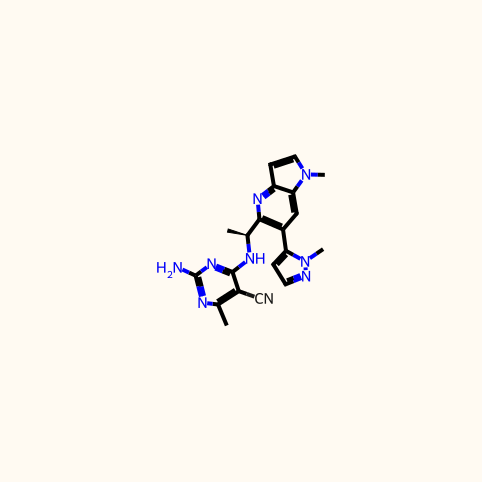 Cc1nc(N)nc(N[C@@H](C)c2nc3ccn(C)c3cc2-c2ccnn2C)c1C#N